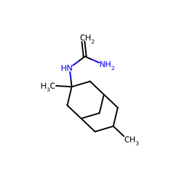 C=C(N)NC1(C)CC2CC(C)CC(C2)C1